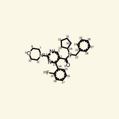 O=C(c1cnc(N2CCOCC2)nc1-c1ccccc1F)N(Cc1ccccc1)C1CCCC1